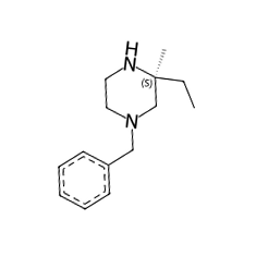 CC[C@@]1(C)CN(Cc2ccccc2)CCN1